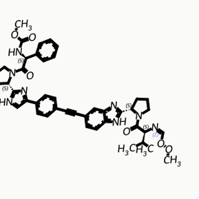 COO/C=N\[C@H](C(=O)N1CCC[C@H]1c1nc2cc(C#Cc3ccc(-c4c[nH]c([C@@H]5CCCN5C(=O)[C@@H](NC(=O)OC)c5ccccc5)n4)cc3)ccc2[nH]1)C(C)C